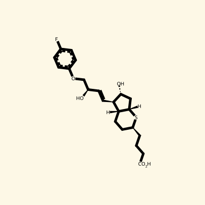 O=C(O)CCC[C@H]1CC[C@@H]2[C@@H](/C=C/[C@@H](O)COc3ccc(F)cc3)[C@H](O)C[C@@H]2S1